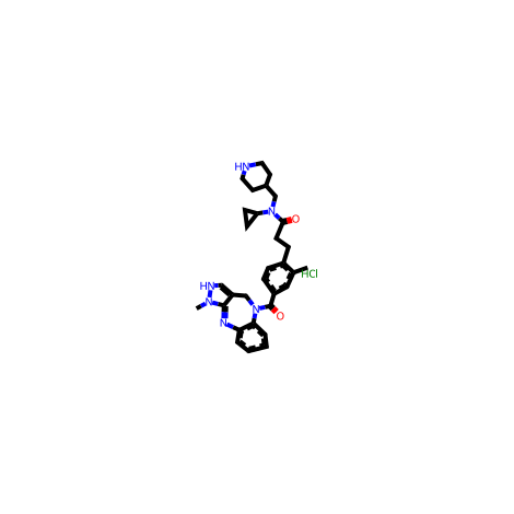 Cc1cc(C(=O)N2CC3=CNN(C)C3=Nc3ccccc32)ccc1CCC(=O)N(CC1CCNCC1)C1CC1.Cl